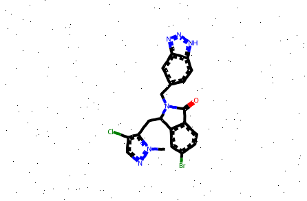 Cn1ncc(Cl)c1CC1c2cc(Br)ccc2C(=O)N1Cc1ccc2[nH]nnc2c1